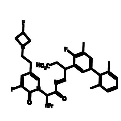 CCCC(C(=O)/N=C/C(CC(=O)O)c1cc(-c2c(C)cccc2C)cc(C)c1F)n1cc(CCN2CC(F)C2)cc(F)c1=O